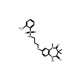 CCN1C(=O)C(C)(C)C(=O)N(C)c2cc(OCCCNS(=O)(=O)c3ccccc3[N+](=O)[O-])ccc21